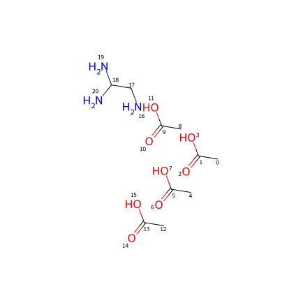 CC(=O)O.CC(=O)O.CC(=O)O.CC(=O)O.NCC(N)N